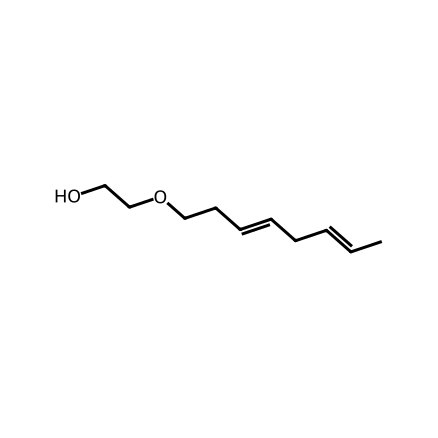 CC=CCC=CCCOCCO